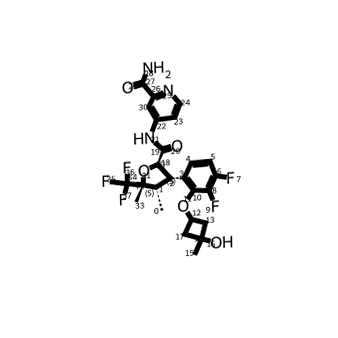 C[C@H]1[C@@H](c2ccc(F)c(F)c2OC2CC(C)(O)C2)[C@H](C(=O)Nc2ccnc(C(N)=O)c2)O[C@@]1(C)C(F)(F)F